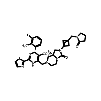 Cc1c(F)cccc1[C@@H]1N=C(c2nccs2)NC(CN2CCN3C(=O)N(C45CC(CN6CCCC6=O)(C4)C5)C[C@@H]3C2)=C1C(=O)O